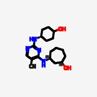 N#Cc1cnc(N[C@H]2CC[C@H](O)CC2)nc1N[C@@H]1CCCC[C@H](O)C1